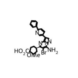 CO[C@]1(C(=O)O)CC[C@@H](c2nc3c(-c4ccc(-c5ccccc5)nc4)cnn3c(N)c2Br)CC1